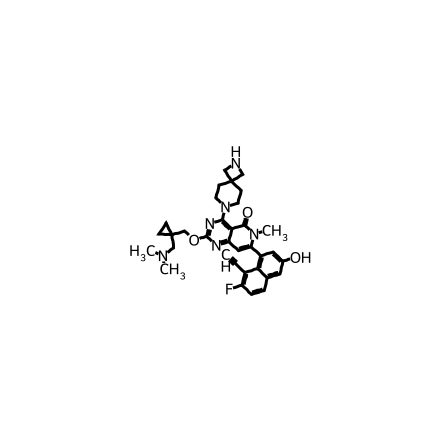 C#Cc1c(F)ccc2cc(O)cc(-c3cc4nc(OCC5(CN(C)C)CC5)nc(N5CCC6(CC5)CNC6)c4c(=O)n3C)c12